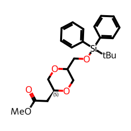 COC(=O)C[C@H]1COC(CO[Si](c2ccccc2)(c2ccccc2)C(C)(C)C)CO1